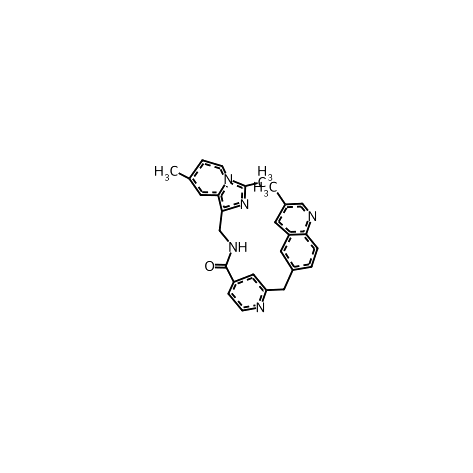 Cc1cnc2ccc(Cc3cc(C(=O)NCc4nc(C)n5ccc(C)cc45)ccn3)cc2c1